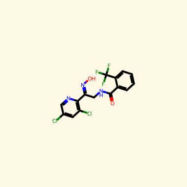 O=C(NCC(=NO)c1ncc(Cl)cc1Cl)c1ccccc1C(F)(F)F